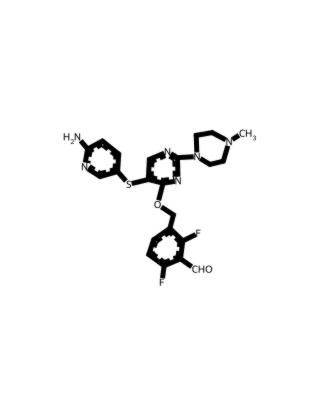 CN1CCN(c2ncc(Sc3ccc(N)nc3)c(OCc3ccc(F)c(C=O)c3F)n2)CC1